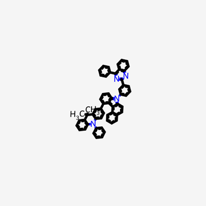 CC1(C)c2ccccc2N(c2ccccc2)c2ccc(-c3cccc4c3c3c5ccccc5ccc3n4-c3cccc(-c4nc(-c5ccccc5)c5ccccc5n4)c3)cc21